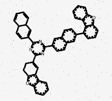 C1=CC2C=CC(c3nc(C4=Cc5c(oc6ccccc56)CC4)nc(-c4ccc5cc(-c6cccc7oc8ccccc8c67)ccc5c4)n3)=CC2C=C1